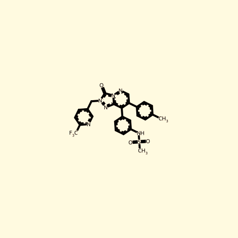 Cc1ccc(-c2cnn3c(=O)n(Cc4ccc(C(F)(F)F)nc4)nc3c2-c2cccc(NS(C)(=O)=O)c2)cc1